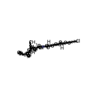 CCCCc1cc(NC(=O)Nc2ccc(OCCN3CCOCC3)c3ccccc23)n(-c2cccc(CNC(=O)OC/C=C/COC(=O)NCCOCCOCCOC(=O)NCCOCCOCCCCCCCl)c2)n1